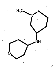 CN1CCCC(NC2CCOCC2)C1